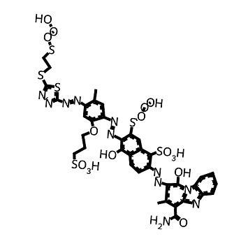 Cc1cc(N=Nc2c(SOOO)cc3c(S(=O)(=O)O)c(N=Nc4c(C)c(C(N)=O)c5nc6ccccc6n5c4O)ccc3c2O)c(OCCCS(=O)(=O)O)cc1N=Nc1nnc(SCCSOOO)s1